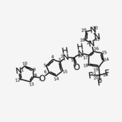 O=C(Nc1ccc(Oc2ccncc2)cc1)Nc1cc(C(F)(F)F)ccc1-n1ccnn1